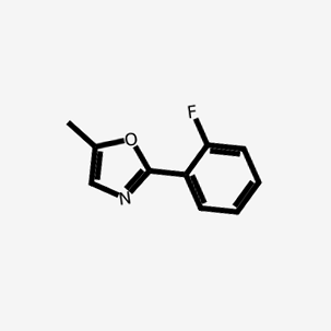 Cc1cnc(-c2ccccc2F)o1